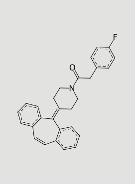 O=C(Cc1ccc(F)cc1)N1CCC(=C2c3ccccc3C=Cc3ccccc32)CC1